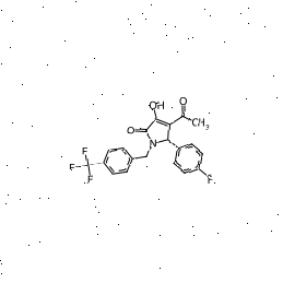 CC(=O)C1=C(O)C(=O)N(Cc2ccc(C(F)(F)F)cc2)C1c1ccc(F)cc1